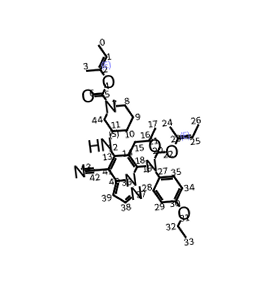 C/C=C(\C)OC(=O)N1CCC[C@H](Nc2c(CCC)c(N(C(=O)O/C(C)=C/C)c3ccc(OCC)cc3)n3nccc3c2C#N)C1